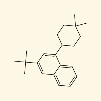 CC1(C)CCC(c2cc(C(C)(C)C)cc3ccccc23)CC1